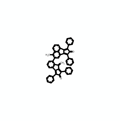 C=C1C2=C(c3ccccc3)C(=O)C(c3ccccc3)=C2c2cccc(-c3cc4c5c(cccc5c3C)C3=C(c5ccccc5)C(=O)C(c5ccccc5)=C34)c21